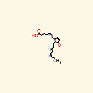 CC/C=C\C[C@H](F)CCC1C(=O)C=C[C@@H]1C/C=C\CCCC(=O)O